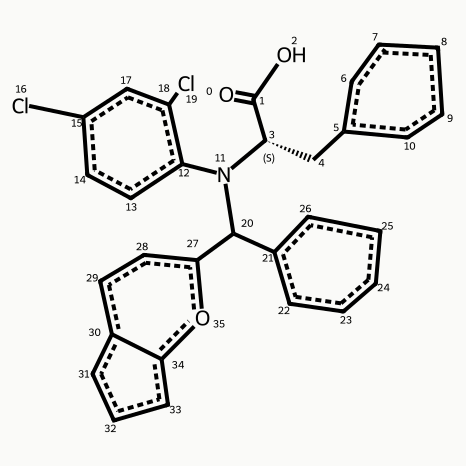 O=C(O)[C@H](Cc1ccccc1)N(c1ccc(Cl)cc1Cl)C(c1ccccc1)c1ccc2cccc-2o1